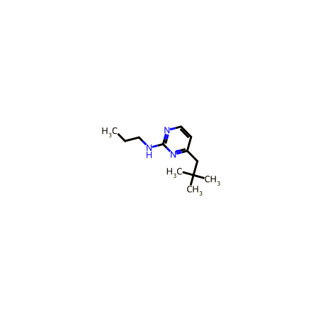 CCCNc1nccc(CC(C)(C)C)n1